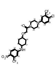 O=C(COC1CCC(Nc2ccc([N+](=O)[O-])c(C(F)(F)F)c2)CC1)N1CCN(c2ccc(Cl)c(C(F)(F)F)c2)CC1